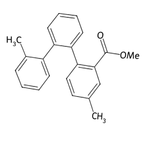 COC(=O)c1cc(C)ccc1-c1ccccc1-c1ccccc1C